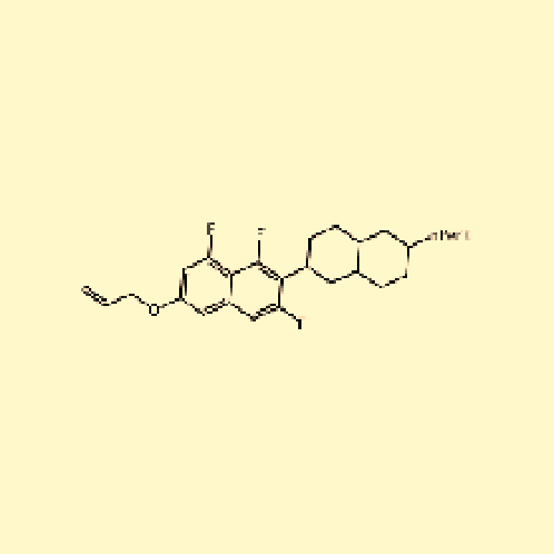 C=CCOc1cc(F)c2c(F)c(C3CCC4CC(CCCCC)CCC4C3)c(F)cc2c1